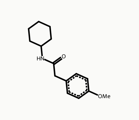 COc1ccc(CC(=O)NC2CCCCC2)cc1